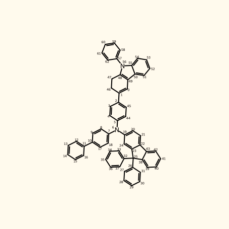 C1=C(c2ccc(N(c3ccc(-c4ccccc4)cc3)c3ccc4c(c3)C(c3ccccc3)(c3ccccc3)c3ccccc3-4)cc2)CCc2c1c1ccccc1n2-c1ccccc1